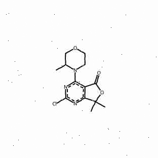 CC1COCCN1c1nc(Cl)nc2c1C(=O)OC2(C)C